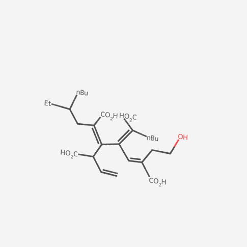 C=CC(C(=O)O)C(C(C=C(CCO)C(=O)O)=C(CCCC)C(=O)O)=C(CC(CC)CCCC)C(=O)O